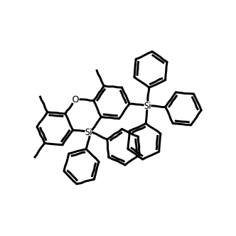 Cc1cc(C)c2c(c1)[Si](c1ccccc1)(c1ccccc1)c1cc([Si](c3ccccc3)(c3ccccc3)c3ccccc3)cc(C)c1O2